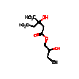 CCC(C)CC(O)COC(=O)CC(O)(CC(=O)O)C(=O)O